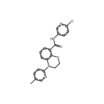 Cc1ccc(N2CCOc3c(C(=O)Nc4ccc(Cl)nc4)cccc32)nc1